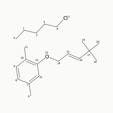 CCCCCCl.Cc1ccc(C)c(OCC=CC(C)(C)C)c1